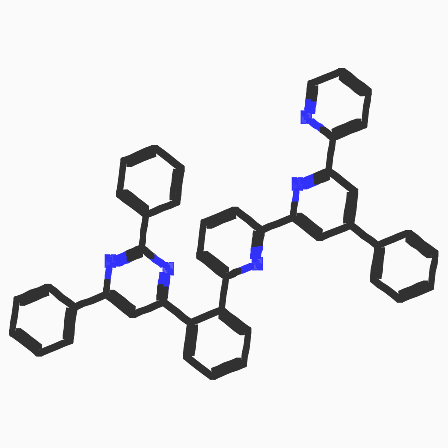 c1ccc(-c2cc(-c3ccccn3)nc(-c3cccc(-c4ccccc4-c4cc(-c5ccccc5)nc(-c5ccccc5)n4)n3)c2)cc1